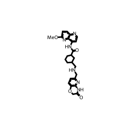 COc1ccc2nccc(NC(=O)C3CCCC(CNCc4ccc5c(n4)NC(=O)CO5)C3)c2n1